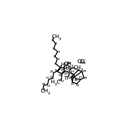 CCCCCCCCC1=C(CCCCCC)C(CC)=C([N+]([Ti])([SiH](C)C)C23CC4CC(CC(C4)C2)C3)C1C.[Cl-].[Cl-]